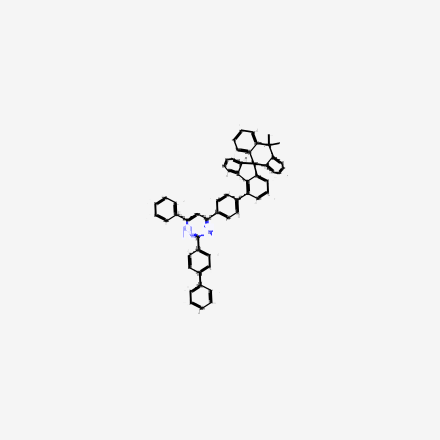 CC1(C)c2ccccc2C2(c3ccccc3-c3c(-c4ccc(-c5cc(-c6ccccc6)nc(-c6ccc(-c7ccccc7)cc6)n5)cc4)cccc32)c2ccccc21